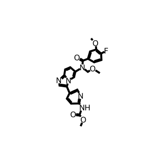 COCN(C(=O)c1ccc(F)c(OC)c1)c1ccc2ncc(-c3ccc(NC(=O)OC)nc3)n2c1